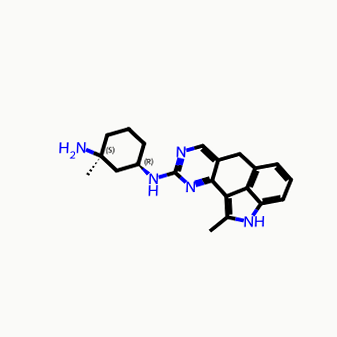 Cc1[nH]c2cccc3c2c1-c1nc(N[C@@H]2CCC[C@](C)(N)C2)ncc1C3